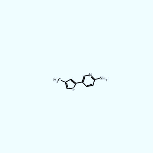 Cc1csc(-c2ccc(N)nc2)c1